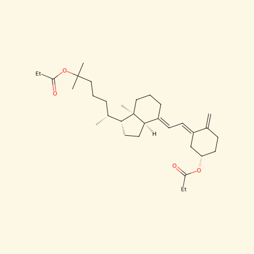 C=C1CC[C@H](OC(=O)CC)CC1=CC=C1CCC[C@@]2(C)[C@@H]1CC[C@@H]2[C@H](C)CCCC(C)(C)OC(=O)CC